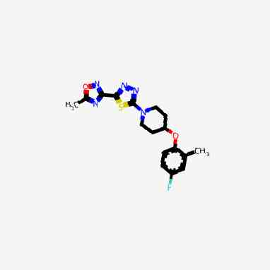 Cc1nc(-c2nnc(N3CCC(Oc4ccc(F)cc4C)CC3)s2)no1